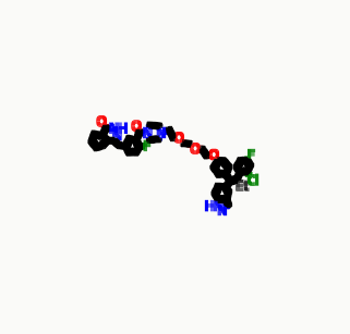 CC/C(=C(/c1ccc(OCCOCCOCCN2CCN(C(=O)c3cc(Cc4n[nH]c(=O)c5ccccc45)ccc3F)CC2)cc1)c1ccc2[nH]ncc2c1)c1ccc(F)cc1Cl